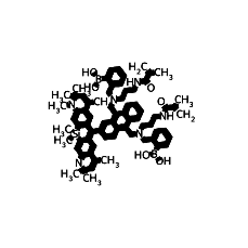 C=C(C)C(=O)NCCCN(Cc1ccccc1B(O)O)Cc1c2ccccc2c(CN(CCCNC(=O)C(=C)C)Cc2ccccc2B(O)O)c2cc(C3=c4cc5c(cc4[Si](C)(C)c4cc6c(cc43)C(C)=CC(C)(C)N6C)=NC(C)(C)C=C5C)ccc12